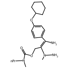 CCCN(C)C(=O)OC/C(=C(/N)c1ccc(OC2CCCCC2)cc1)N(C)N